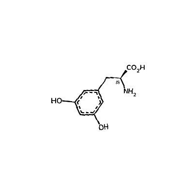 N[C@@H](Cc1cc(O)cc(O)c1)C(=O)O